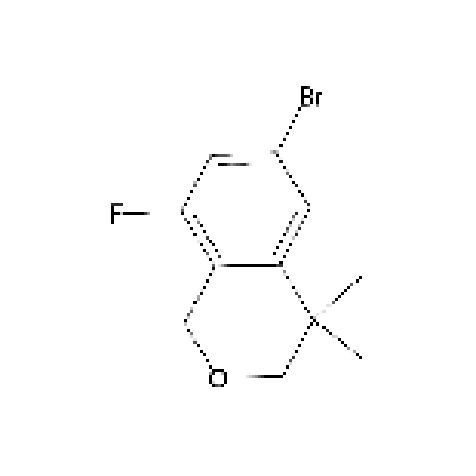 CC1(C)COCc2c(F)cc(Br)cc21